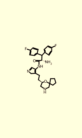 N[C@H](C(=O)NC1=C(CC[C@@H]2CNCC3(CCCC3)O2)CN=C1)C(c1ccc(F)cc1)c1ccc(F)cc1